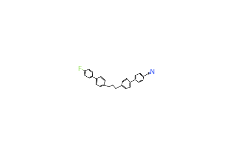 N#Cc1ccc(-c2ccc(CCCc3ccc(-c4ccc(F)cc4)cc3)cc2)cc1